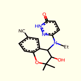 CCN(c1ccc(=O)[nH]n1)C1c2cc(C#N)ccc2OC(C)(C)C1O